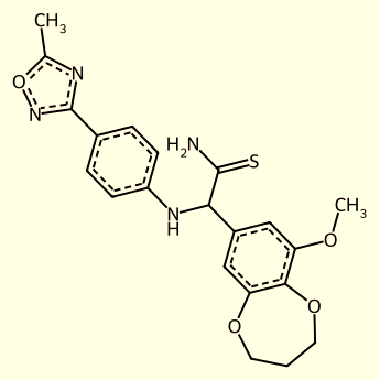 COc1cc(C(Nc2ccc(-c3noc(C)n3)cc2)C(N)=S)cc2c1OCCCO2